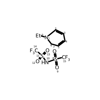 CCN1C=CC=CC1.O=S(=O)(NS(=O)(=O)C(F)(F)F)C(F)(F)F